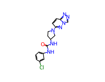 O=C(Nc1cccc(Cl)c1)N[C@H]1CCN(c2ccc3nncn3n2)C1